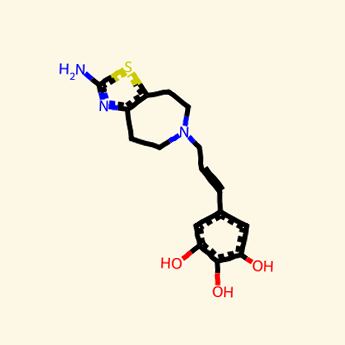 Nc1nc2c(s1)CCN(CC=Cc1cc(O)c(O)c(O)c1)CC2